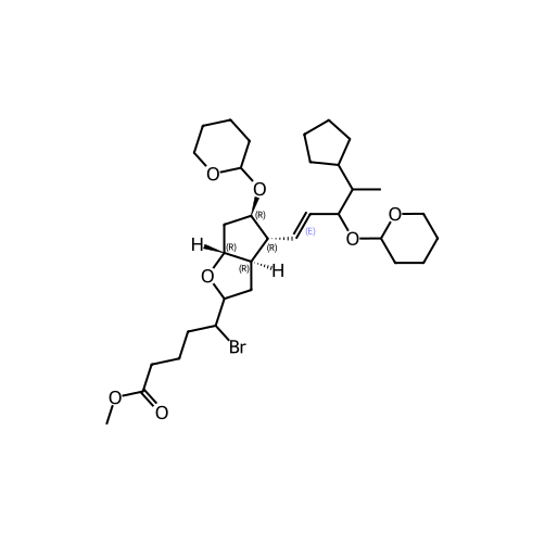 COC(=O)CCCC(Br)C1C[C@@H]2[C@@H](/C=C/C(OC3CCCCO3)C(C)C3CCCC3)[C@H](OC3CCCCO3)C[C@H]2O1